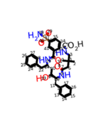 CC(C)(CNC(=O)O)CC(=O)N[C@@H](Cc1ccccc1)[C@H](O)C[C@H](Cc1ccccc1)NC(=O)c1cccc(S(N)(=O)=O)c1